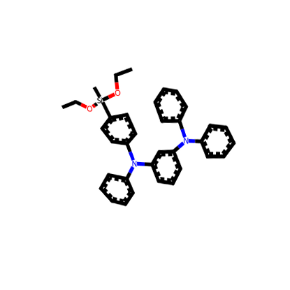 CCO[Si](C)(OCC)c1ccc(N(c2ccccc2)c2cccc(N(c3ccccc3)c3ccccc3)c2)cc1